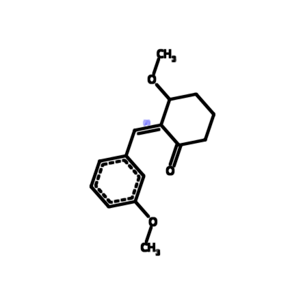 COc1cccc(/C=C2\C(=O)CCCC2OC)c1